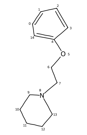 [c]1cccc(OCCN2CCCCC2)c1